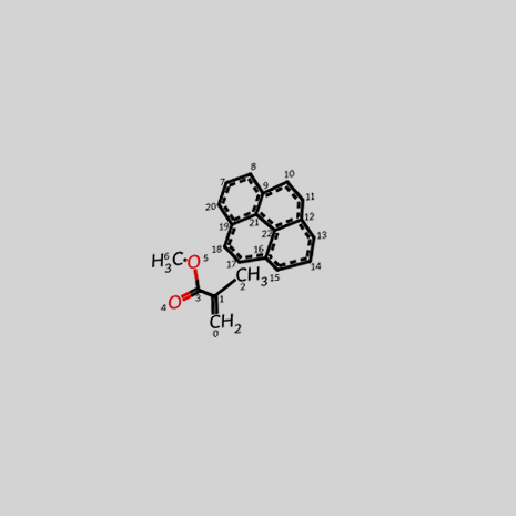 C=C(C)C(=O)OC.c1cc2ccc3cccc4ccc(c1)c2c34